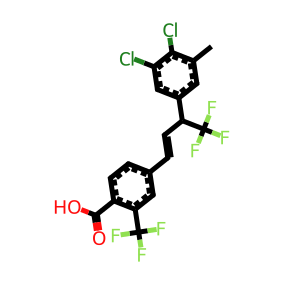 Cc1cc(C(/C=C/c2ccc(C(=O)O)c(C(F)(F)F)c2)C(F)(F)F)cc(Cl)c1Cl